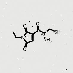 CC[N+]1C(=O)C=C(C(=O)[C@@H](N)CS)C1=O